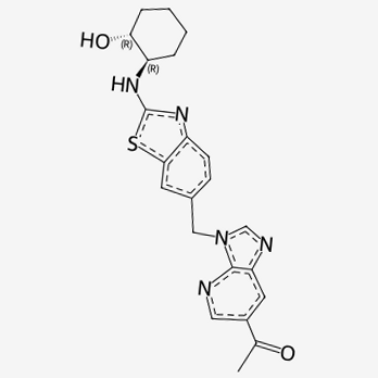 CC(=O)c1cnc2c(c1)ncn2Cc1ccc2nc(N[C@@H]3CCCC[C@H]3O)sc2c1